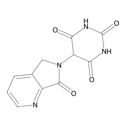 O=C1NC(=O)C(N2Cc3cccnc3C2=O)C(=O)N1